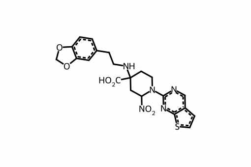 O=C(O)C1(NCCc2ccc3c(c2)OCO3)CCN(c2ncc3ccsc3n2)C([N+](=O)[O-])C1